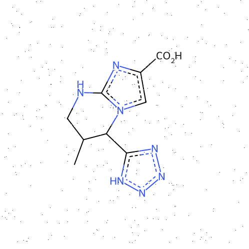 CC1CNc2nc(C(=O)O)cn2C1c1nnn[nH]1